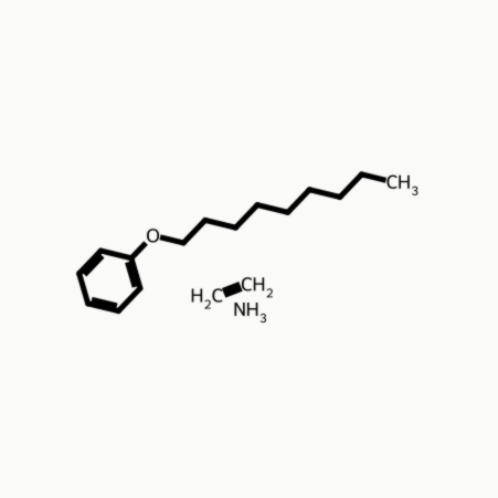 C=C.CCCCCCCCCOc1ccccc1.N